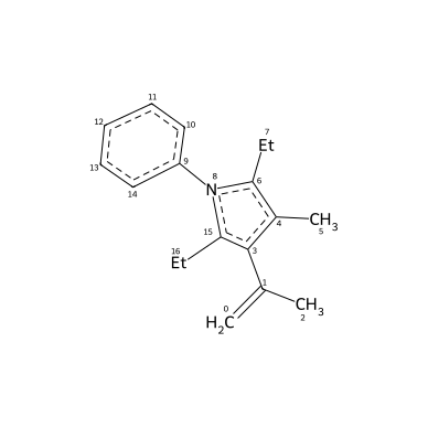 C=C(C)c1c(C)c(CC)n(-c2ccccc2)c1CC